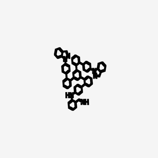 N=Cc1ccccc1Nc1ccc(-c2ccccc2-c2cc(-c3ccccc3-c3ccc(-n4ncc5ccccc54)cc3)cc(-c3ccccc3-c3ccc(-n4ncc5ccccc54)cc3)c2)cc1